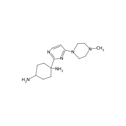 CN1CCN(c2ccnc(C3(N)CCC(N)CC3)n2)CC1